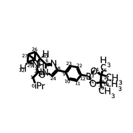 CC(C)CC(=O)N1[C@H](c2nc(-c3ccc(B4OC(C)(C)C(C)(C)O4)cc3)c[nH]2)C2C3[C@H]2[C@@H]31